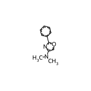 CN(C)c1coc(-c2ccccc2)n1